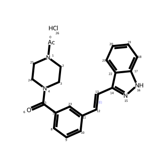 CC(=O)N1CCN(C(=O)c2cccc(/C=C/c3n[nH]c4ccccc34)c2)CC1.Cl